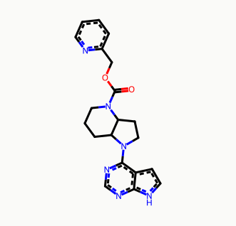 O=C(OCc1ccccn1)N1CCCC2C1CCN2c1ncnc2[nH]ccc12